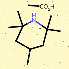 CC(=O)O.CC1CC(C)(C)NC(C)(C)C1